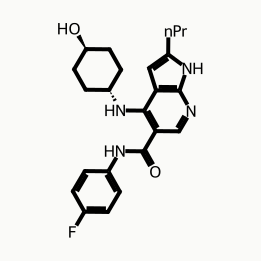 CCCc1cc2c(N[C@H]3CC[C@H](O)CC3)c(C(=O)Nc3ccc(F)cc3)cnc2[nH]1